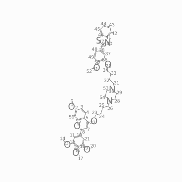 COc1ccc(C(=CC(=O)c2cc(OC)c(OC)c(OC)c2)OCCCCN2CCN(CCCCOc3cc(-c4nc5ccccc5s4)ccc3OC)CC2)cc1